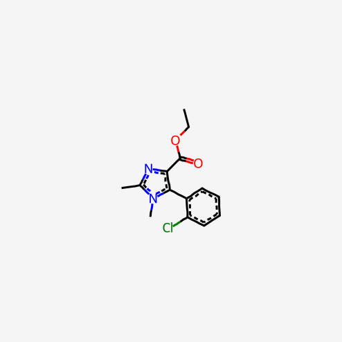 CCOC(=O)c1nc(C)n(C)c1-c1ccccc1Cl